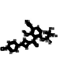 COc1c(C#N)ccc(O[C@@H](C)C(F)(F)F)c1C(=O)N1CC(c2ccc(Cl)cc2)C1